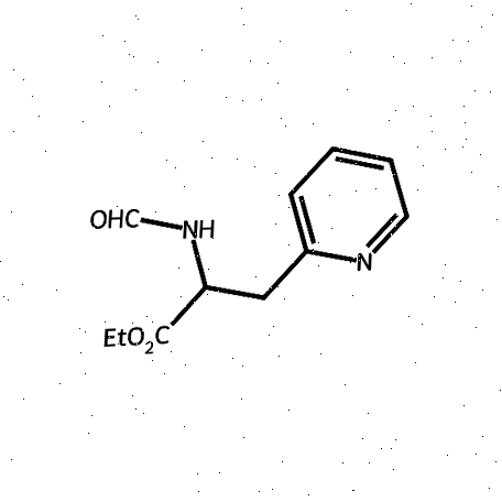 CCOC(=O)C(Cc1ccccn1)NC=O